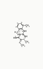 CCN(CC)C(=N)NC(=N)Nc1c(C)cccc1C